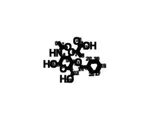 CC(=O)N[C@@H]1[C@@H](OC(C)C(=O)O)[C@H](OCc2ccccc2)[C@@H](CO)O[C@H]1O